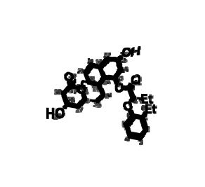 CCc1ccccc1O[C@@H](CC)C(=O)OC1CC(O)C=C2C=CC(C)C(CC[C@@H]3C[C@@H](O)CC(=O)O3)C21